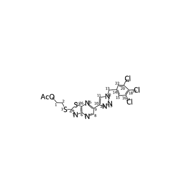 CC(=O)OCCSc1nc2ncc(-c3cn(Cc4cc(Cl)c(Cl)c(Cl)c4)nn3)nc2s1